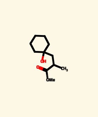 COC(=O)C(C)CC1(O)CCCCC1